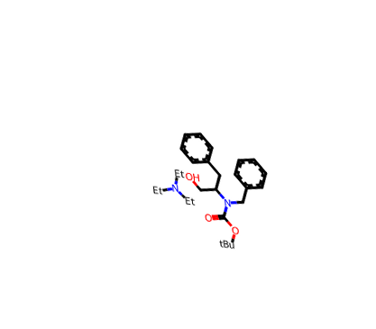 CC(C)(C)OC(=O)N(Cc1ccccc1)C(CO)Cc1ccccc1.CCN(CC)CC